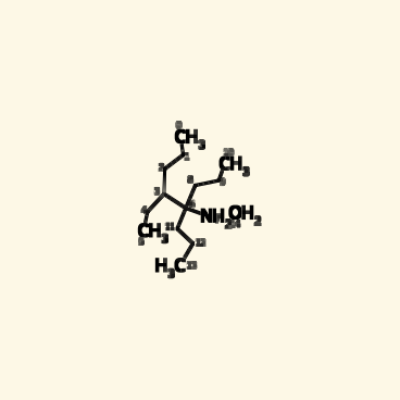 CCCC(CC)C(N)(CCC)CCC.O